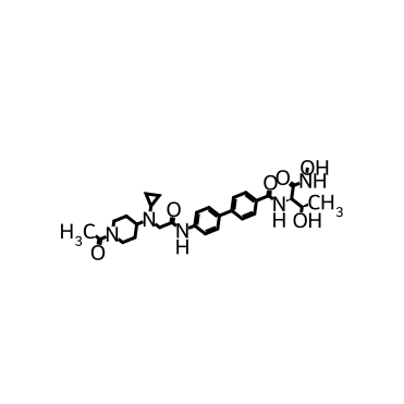 CC(=O)N1CCC(N(CC(=O)Nc2ccc(-c3ccc(C(=O)N[C@H](C(=O)NO)[C@@H](C)O)cc3)cc2)C2CC2)CC1